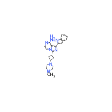 CN1CCN([C@H]2C[C@@H](c3nc(-c4cc5ccccc5[nH]4)c4c(N)nccn43)C2)CC1